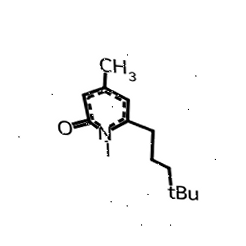 Cc1cc(CCCC(C)(C)C)n(I)c(=O)c1